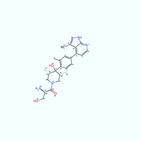 Cc1cc(-c2ccnc3[nH]cc(C#N)c23)ccc1C1(O)[C@H](C)CN(C(=O)[C@H](N)CO)C[C@@H]1C